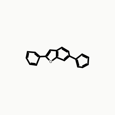 c1ccc(-c2ccc3cc(-c4ccccc4)oc3c2)cc1